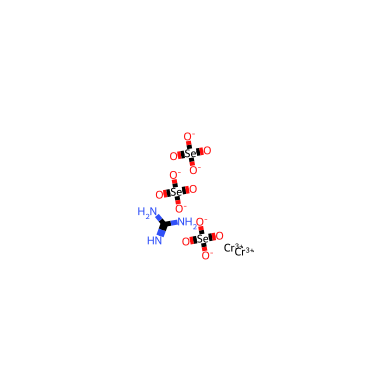 N=C(N)N.O=[Se](=O)([O-])[O-].O=[Se](=O)([O-])[O-].O=[Se](=O)([O-])[O-].[Cr+3].[Cr+3]